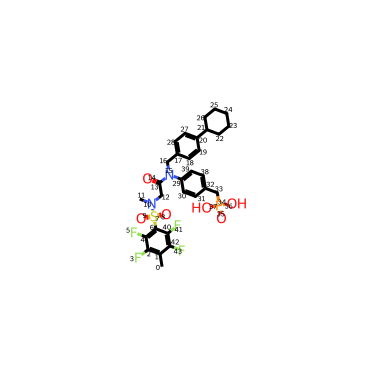 Cc1c(F)c(F)c(S(=O)(=O)N(C)CC(=O)N(Cc2ccc(C3CCCCC3)cc2)c2ccc(CP(=O)(O)O)cc2)c(F)c1F